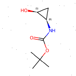 CC(C)(C)OC(=O)N[C@@H]1C[C@@H]1O